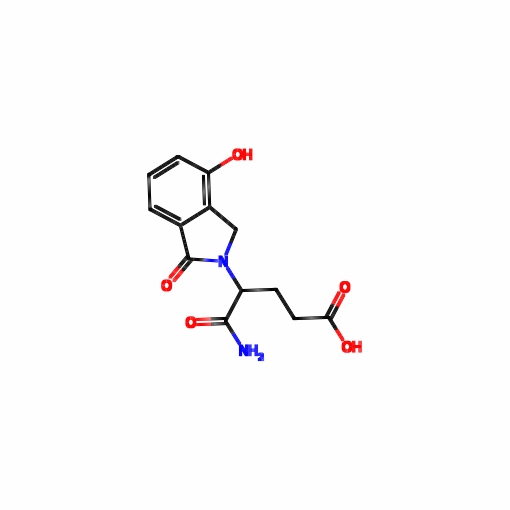 NC(=O)C(CCC(=O)O)N1Cc2c(O)cccc2C1=O